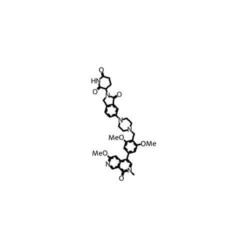 COc1cc2c(-c3cc(OC)c(CN4CCN(c5ccc6c(c5)C(=O)N(C5CCC(=O)NC5=O)C6)CC4)c(OC)c3)cn(C)c(=O)c2cn1